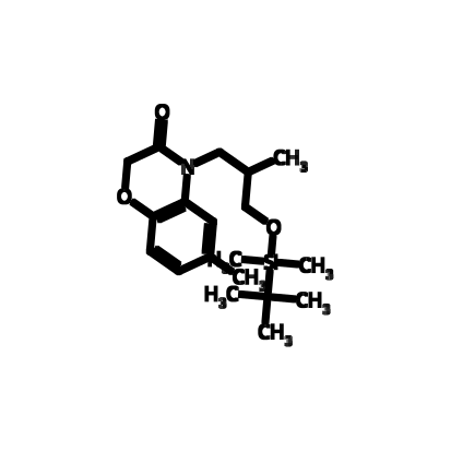 Cc1ccc2c(c1)N(CC(C)CO[Si](C)(C)C(C)(C)C)C(=O)CO2